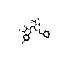 O=C(O)NC(COCc1ccccc1)CN(Cc1ccc(F)cc1)C(=O)CBr